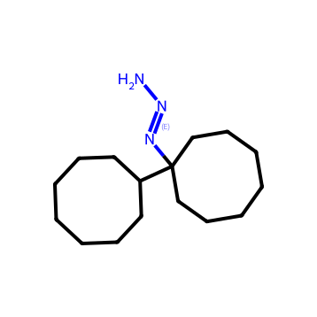 N/N=N/C1(C2CCCCCCC2)CCCCCCC1